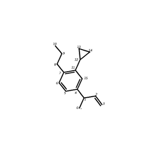 [CH2]C(C=C)c1ccc(CCC)c(C2CC2)c1